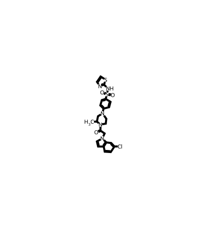 CC1CN(c2ccc(S(=O)(=O)Nc3nccs3)cc2)CCN1C(=O)Cn1ccc2ccc(Cl)cc21